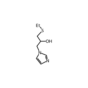 CCSCC(O)Cn1ccnc1